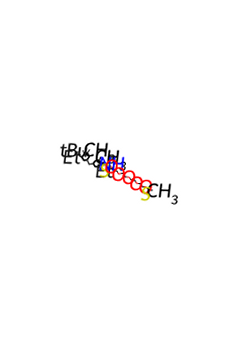 CCc1cc(Cc2cc(C)c(C(C)(C)C)c(CC)c2)cc(C)c1NC(=S)OCCOCCOCCOCCOC(C)=S